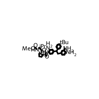 COC(=O)N[C@H](C(=O)N1CCC[C@H]1C(=O)Nc1ccc(C(Cc2ccc(N)c(N)c2)c2ccc(C(C)(C)C)cc2)cc1N)C(C)C